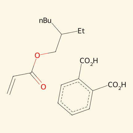 C=CC(=O)OCC(CC)CCCC.O=C(O)c1ccccc1C(=O)O